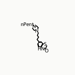 CCCCCN1CCN(CCCCc2ccc3c(c2)SCC(=O)N3)CC1